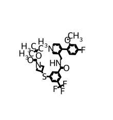 COc1cc(F)ccc1-c1ccncc1CNC(=O)c1cc(SC2CN(C(=O)OC(C)(C)C)C2)cc(C(F)(F)F)c1